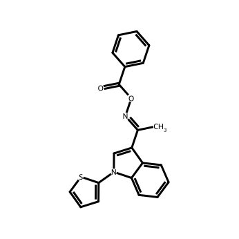 C/C(=N\OC(=O)c1ccccc1)c1cn(-c2cccs2)c2ccccc12